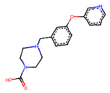 O=C(O)N1CCN(Cc2cccc(Oc3cccnc3)c2)CC1